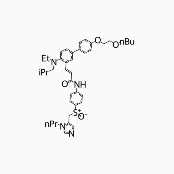 CCCCOCCOc1ccc(-c2ccc(N(CC)CC(C)C)c(C=CC(=O)Nc3ccc([S@@+]([O-])Cc4cncn4CCC)cc3)c2)cc1